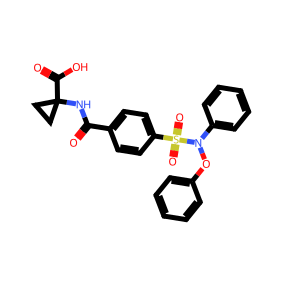 O=C(NC1(C(=O)O)CC1)c1ccc(S(=O)(=O)N(Oc2ccccc2)c2ccccc2)cc1